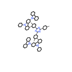 Cc1ccc(-c2nc(-c3ccc(C)c(-c4cccc5c4c4cc(-n6c7ccccc7c7ccccc76)ccc4n5-c4ccccc4)c3)nc(-c3ccc(C)c(-c4cccc5c4c4cc(-n6c7ccccc7c7ccccc76)ccc4n5-c4ccccc4)c3)n2)cc1